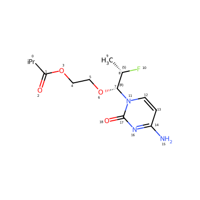 CC(C)C(=O)OCCO[C@H]([C@H](C)F)n1ccc(N)nc1=O